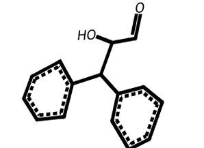 O=CC(O)C(c1ccccc1)c1ccccc1